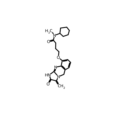 C=c1c(=O)[nH]c2n1Cc1cccc(OCCCC(=O)N(C)C3CCCCC3)c1N=2